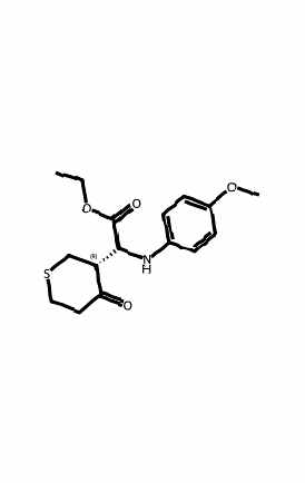 CCOC(=O)C(Nc1ccc(OC)cc1)[C@H]1CSCCC1=O